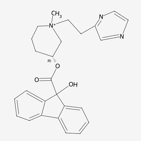 C[N+]1(CCc2cnccn2)CCC[C@@H](OC(=O)C2(O)c3ccccc3-c3ccccc32)C1